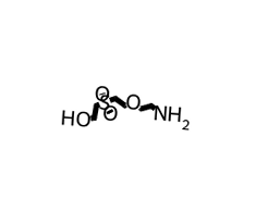 NCCOCCS(=O)(=O)CCO